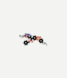 Cc1ccc(S(=O)(=O)Oc2ccc(C(C(=O)OCc3ccccc3)C(CN)CC(=O)OC(C)C)cc2)cc1